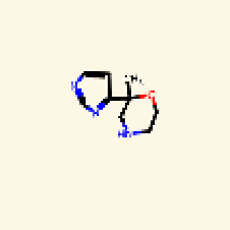 CC1(c2ccn[c]n2)CNCCO1